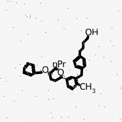 CCC[C@H]1O[C@H](c2ccc(C)c(Cc3ccc(CCCCO)cc3)c2)CC[C@H]1OCc1ccccc1